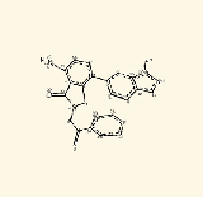 C=C(CN1Cc2c(-c3ccc4cnn(C)c4c3)ccc(N)c2C1=O)c1ccccn1